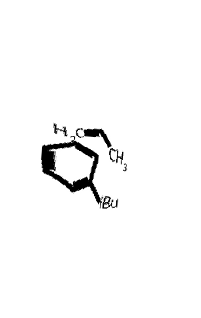 C=CC.CCC(C)c1ccccc1